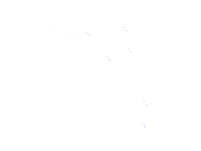 CC(C)(C)OC(=O)N1Cc2nc(-c3ccc(NC(=O)NC4CC4)cc3F)nc(N3CCOCC3)c2C1